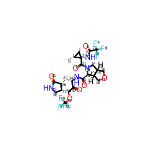 C[C@@H]1C[C@@]1(NC(=O)C(F)(F)F)C(=O)N1C[C@@H]2COC[C@@H]2[C@H]1C(=O)N[C@@H](C[C@@H]1CCNC1=O)C(=O)COC(F)(F)F